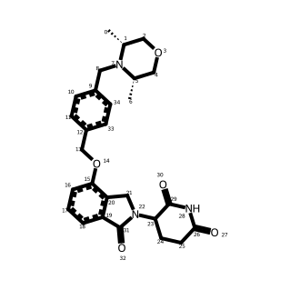 C[C@@H]1COC[C@H](C)N1Cc1ccc(COc2cccc3c2CN(C2CCC(=O)NC2=O)C3=O)cc1